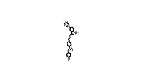 [O-][S+](Cc1ccc(F)cc1)C1CCN(CCCc2c[nH]c3ccc(-n4cnnc4)cc23)CC1